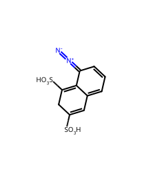 [N-]=[N+]=C1C=CC=C2C=C(S(=O)(=O)O)CC(S(=O)(=O)O)=C21